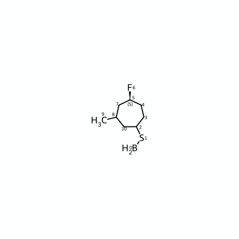 BSC1CC[C@H](F)CC(C)C1